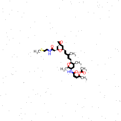 CSCCNC(=O)C[C@@H]1C[C@@]2(CO2)C[C@@H](/C=C/C(C)=C/C[C@@H]2O[C@H](C)[C@H](NC(=O)/C=C\C(C)OC(C)=O)C[C@@H]2C)O1